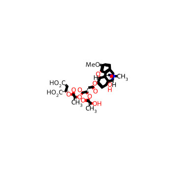 COc1ccc2c3c1O[C@@H]1C(OC(=O)C[C@H](OC(=O)[C@H](C)O)C(=O)O[C@@H](C)C(=O)O[C@@H](CC(=O)O)C(=O)O)=CC[C@]4(O)[C@H](C2)N(C)CC[C@@]314